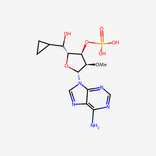 CO[C@@H]1[C@H](OP(=O)(O)O)[C@@H](C(O)C2CC2)O[C@H]1n1cnc2c(N)ncnc21